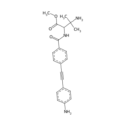 COC(=O)C(NC(=O)c1ccc(C#Cc2ccc(N)cc2)cc1)C(C)(C)N